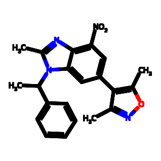 Cc1noc(C)c1-c1cc([N+](=O)[O-])c2nc(C)n(C(C)c3ccccc3)c2c1